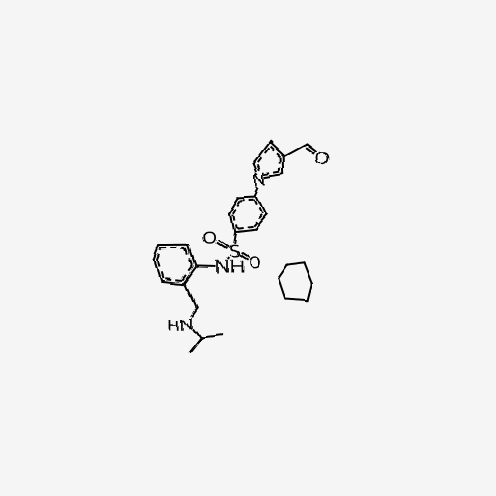 C1CCCCC1.CC(C)NCc1ccccc1NS(=O)(=O)c1ccc(-n2ccc(C=O)c2)cc1